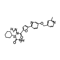 CNC(=O)[C@H](C1CCCCC1)N(N)C(=O)c1ccc(-c2ccc(OCc3ccnc(C)c3)cn2)o1